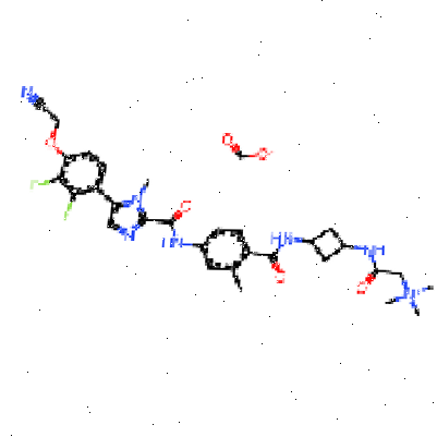 Cc1cc(NC(=O)c2ncc(-c3ccc(OCC#N)c(F)c3F)n2C)ccc1C(=O)NC1CC(NC(=O)C[N+](C)(C)C)C1.O=C[O-]